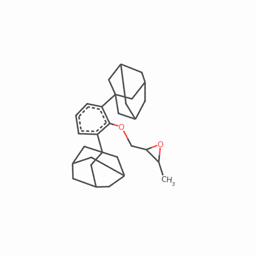 CC1OC1COc1c(C23CC4CC(CC(C4)C2)C3)cccc1C12CC3CC(CC(C3)C1)C2